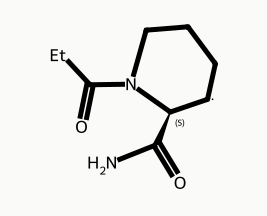 CCC(=O)N1CCC[CH][C@H]1C(N)=O